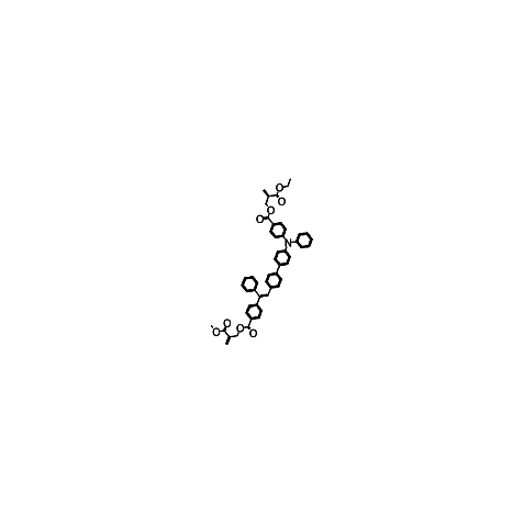 C=C(COC(=O)c1ccc(C(=Cc2ccc(-c3ccc(N(c4ccccc4)c4ccc(C(=O)OCC(=C)C(=O)OCC)cc4)cc3)cc2)c2ccccc2)cc1)C(=O)OC